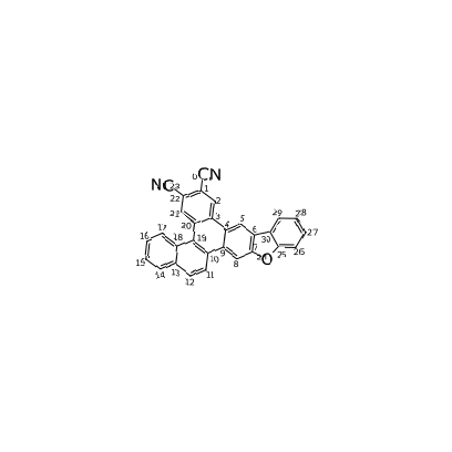 N#Cc1cc2c3cc4c(cc3c3ccc5ccccc5c3c2cc1C#N)oc1ccccc14